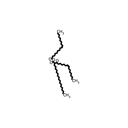 CCCCCCCC/C=C\CCCCCCCC(=O)OC(=O)C(CCCCCCCCCCCCCCCCCC)C(=O)CCCCC/C=C\CCCCCCCC